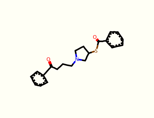 O=C(CCCN1CCC(SC(=O)c2ccccc2)C1)c1ccccc1